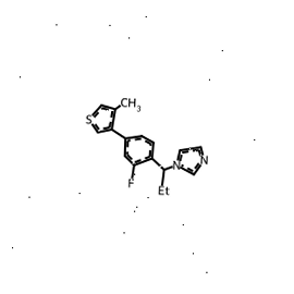 CCC(c1ccc(-c2cscc2C)cc1F)n1ccnc1